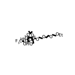 CCOCCOCCOCCOC[C@@]12CO[C@@H](O1)[C@H](NC(O)C(F)(F)F)[C@H]1OC(C)(C)O[C@H]12